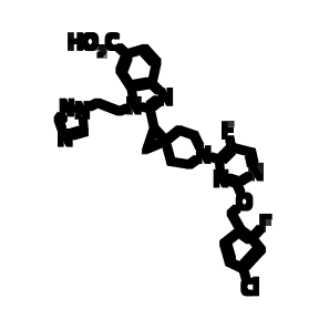 O=C(O)c1ccc2nc(C3CC34CCN(c3nc(OCc5ccc(Cl)cc5F)ncc3F)CC4)n(CCn3cncn3)c2c1